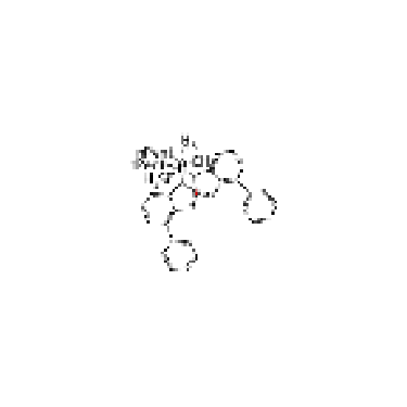 CCCC[CH2][Hf]([CH3])([CH3])(=[SiH2])([CH2]CCCC)([CH]1C=Cc2c(-c3ccccc3)cccc21)[CH]1C=Cc2c(-c3ccccc3)cccc21